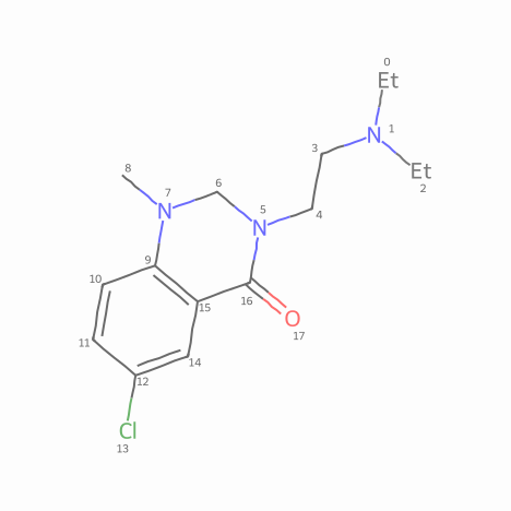 CCN(CC)CCN1CN(C)c2ccc(Cl)cc2C1=O